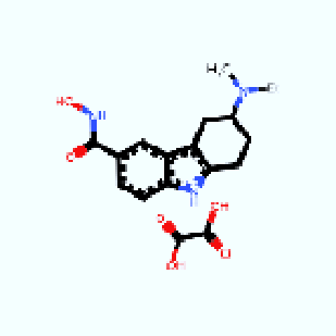 CCN(C)C1CCc2[nH]c3ccc(C(=O)NO)cc3c2C1.O=C(O)C(=O)O